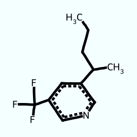 CCCC(C)c1cncc(C(F)(F)F)c1